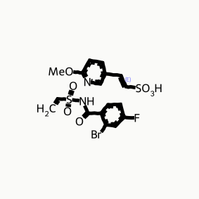 C=CS(=O)(=O)NC(=O)c1ccc(F)cc1Br.COc1ccc(/C=C/S(=O)(=O)O)cn1